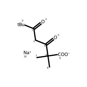 CC(C)(C)C(=O)CC(=O)C(C)(C)C(=O)[O-].[Na+]